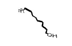 CCC/C=C\CCC=CCCCO